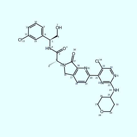 C[C@H](C(=O)N[C@H](CO)c1cccc(Cl)c1)N1Cc2ccc(-c3nc(NC4CCOCC4)ncc3Cl)nc2C1=O